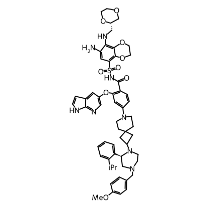 COc1ccc(CN2CCN(C3CC4(CCN(c5ccc(C(=O)NS(=O)(=O)c6cc(N)c(NC[C@H]7COCCO7)c7c6OCCO7)c(Oc6cnc7[nH]ccc7c6)c5)CC4)C3)[C@H](c3ccccc3C(C)C)C2)cc1